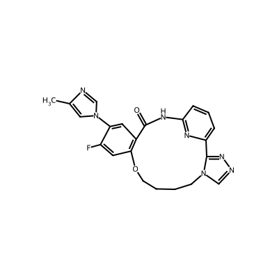 Cc1cn(-c2cc3c(cc2F)OCCCCn2cnnc2-c2cccc(n2)NC3=O)cn1